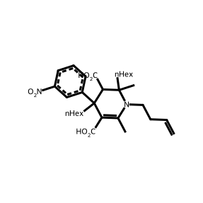 C=CCCN1C(C)=C(C(=O)O)C(CCCCCC)(c2cccc([N+](=O)[O-])c2)C(C(=O)O)C1(C)CCCCCC